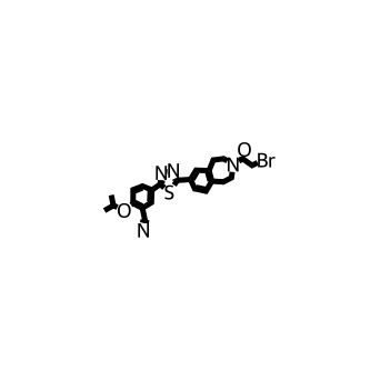 CC(C)Oc1ccc(-c2nnc(-c3ccc4c(c3)CCN(C(=O)CBr)CC4)s2)cc1C#N